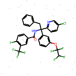 O=C(NC(Cc1ccccc1)(c1cccc(OC(F)(F)C(F)F)c1)c1ccc(Cl)cn1)c1ccc(F)c(C(F)(F)F)c1